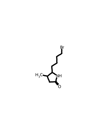 CC1CC(=O)NC1CCCCBr